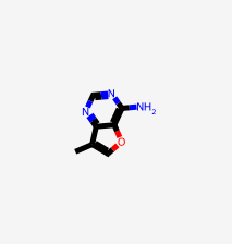 Cc1coc2c(N)ncnc12